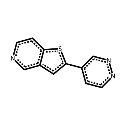 c1cc2sc(-c3ccnnc3)cc2cn1